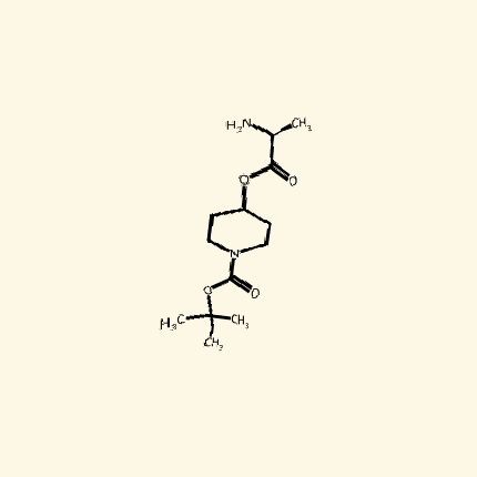 C[C@H](N)C(=O)OC1CCN(C(=O)OC(C)(C)C)CC1